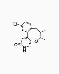 CC1Cc2ccc(Cl)cc2-c2cc(=O)[nH]cc2OC1C